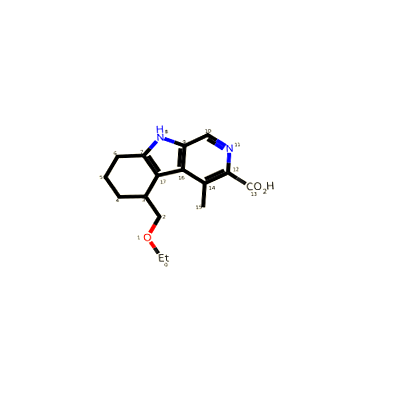 CCOCC1CCCc2[nH]c3cnc(C(=O)O)c(C)c3c21